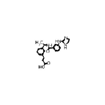 CC(NC(=O)c1cccc(NC2=NCCN2)c1)c1cccc(C=CC(=O)O)c1